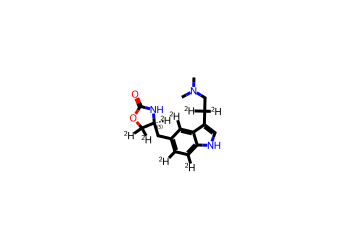 [2H]c1c(C[C@]2([2H])NC(=O)OC2([2H])[2H])c([2H])c2c(C([2H])([2H])CN(C)C)c[nH]c2c1[2H]